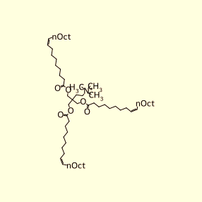 CCCCCCCC/C=C\CCCCCCCC(=O)OCC(CC[N+](C)(C)C)(COC(=O)CCCCCCC/C=C\CCCCCCCC)COC(=O)CCCCCCC/C=C\CCCCCCCC